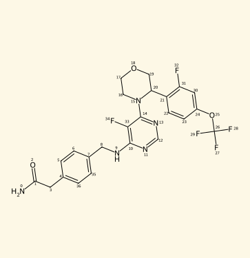 NC(=O)Cc1ccc(CNc2ncnc(N3CCOCC3c3ccc(OC(F)(F)F)cc3F)c2F)cc1